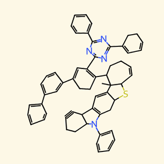 CC12C3=CC4=C(CC3SC1C=CCCC2C1=C(c2nc(C3=CC=CCC3)nc(-c3ccccc3)n2)C=C(c2cccc(-c3ccccc3)c2)CC1)N(c1ccccc1)C1CCC#CC41